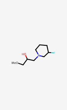 COCC(O)CN1CCCC(F)C1